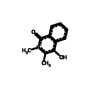 Cc1c(O)c2ccccc2c(=O)n1C